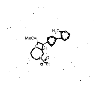 CCS(=O)(=O)N1CCCCN2[C@H](COC)[C@@H](c3ccc(-c4ccccc4C)cc3)[C@@H]2C1